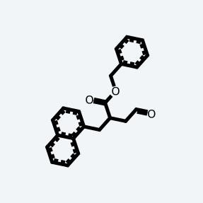 O=CCC(Cc1cccc2ccccc12)C(=O)OCc1ccccc1